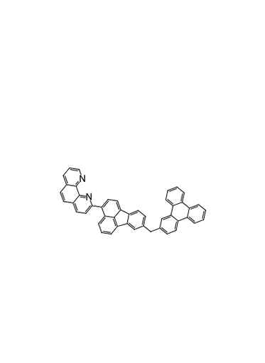 c1cnc2c(c1)ccc1ccc(-c3ccc4c5c(cccc35)-c3cc(Cc5ccc6c7ccccc7c7ccccc7c6c5)ccc3-4)nc12